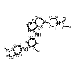 C=CC(=O)N1CCN(c2ccc3ncnc(Nc4ccc(Oc5ccc6c(c5)ncn6C)c(C)c4)c3c2)CC1